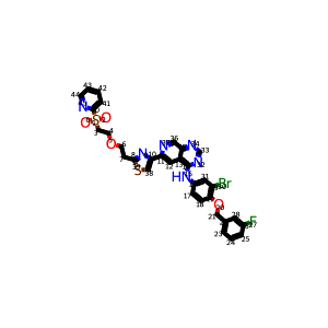 O=S(=O)(CCOCCc1nc(-c2cc3c(Nc4ccc(OCc5cccc(F)c5)c(Br)c4)ncnc3cn2)cs1)c1ccccn1